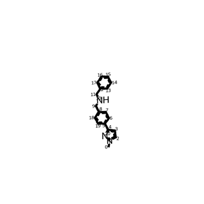 Cn1ccc(-c2ccc(CNCc3ccccc3)cc2)n1